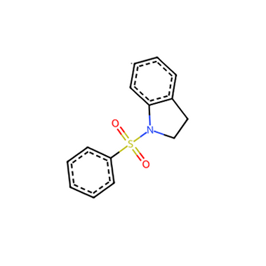 O=S(=O)(c1ccccc1)N1CCc2cc[c]cc21